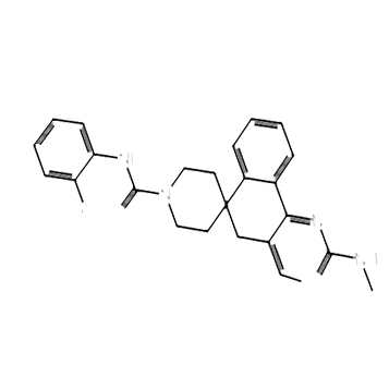 C=C(/N=C1\C(=C/C)CC2(CCN(C(=O)Nc3ccccc3Cl)CC2)c2ccccc21)NC